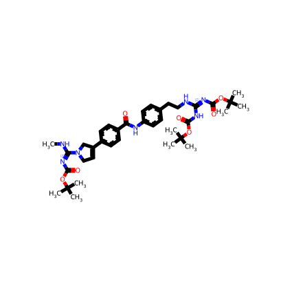 CN/C(=N/C(=O)OC(C)(C)C)N1CC=C(c2ccc(C(=O)Nc3ccc(CCN/C(=N/C(=O)OC(C)(C)C)NC(=O)OC(C)(C)C)cc3)cc2)C1